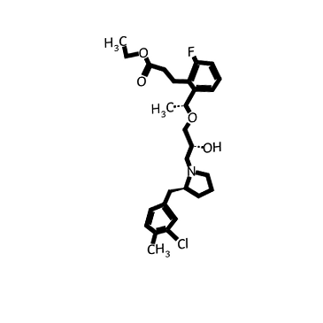 CCOC(=O)CCc1c(F)cccc1[C@@H](C)OC[C@H](O)CN1CCC[C@H]1Cc1ccc(C)c(Cl)c1